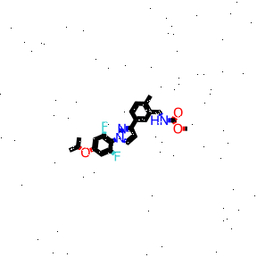 COC(=O)NCc1cc(-c2ccn(-c3c(F)cc(OC(C)C)cc3F)n2)ccc1C